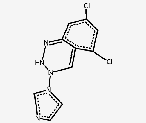 Clc1cc(Cl)c2c(c1)=NNN(n1ccnc1)C=2